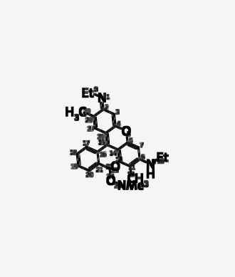 CC/N=c1/cc2oc3cc(NCC)c(C)cc3c(-c3ccccc3C(=O)ONC)c-2cc1C